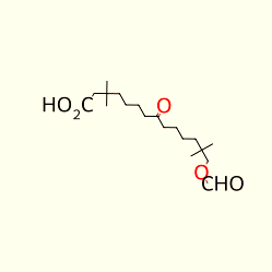 CC(C)(CCCCC(=O)CCCCC(C)(C)CC(=O)O)COC=O